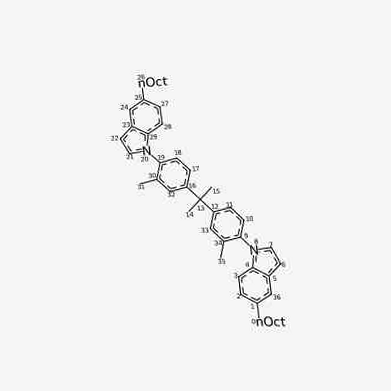 CCCCCCCCc1ccc2c(ccn2-c2ccc(C(C)(C)c3ccc(-n4ccc5cc(CCCCCCCC)ccc54)c(C)c3)cc2C)c1